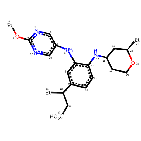 CCOc1ncc(Nc2cc(C(CC)CC(=O)O)ccc2NC2CCO[C@H](CC)C2)cn1